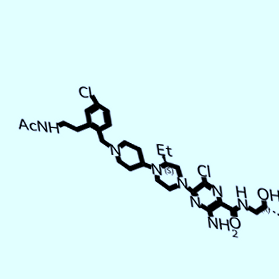 CC[C@H]1CN(c2nc(N)c(C(=O)NC[C@@H](C)O)nc2Cl)CCN1C1CCN(Cc2ccc(Cl)cc2CCNC(C)=O)CC1